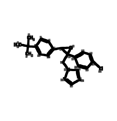 CC(C)(C)c1ccc(C2OC2(Cn2cncn2)c2ccc(Cl)cc2)cc1